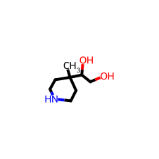 CC1(C(O)CO)CCNCC1